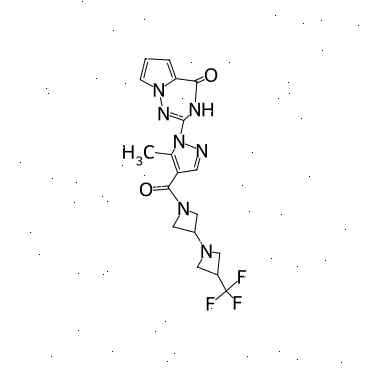 Cc1c(C(=O)N2CC(N3CC(C(F)(F)F)C3)C2)cnn1-c1nn2cccc2c(=O)[nH]1